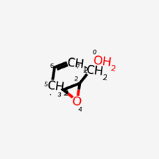 O.[CH2]C1CO1.[CH2]C=C